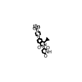 CC(C)(C)OC(=O)N1CCN(c2ccc3c(=O)n(C4CCC(=O)NC4=O)nc(C4CC4)c3c2)CC1